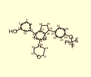 Oc1cccc(-c2nc(N3CCOCC3)nc3c2CCC3c2ccc(OC(F)(F)F)cc2)c1